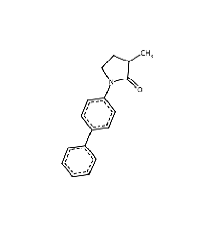 CC1CCN(c2ccc(-c3ccccc3)cc2)C1=O